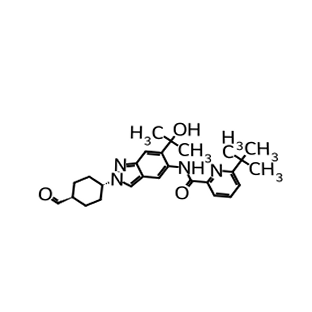 CC(C)(C)c1cccc(C(=O)Nc2cc3cn([C@H]4CC[C@H](C=O)CC4)nc3cc2C(C)(C)O)n1